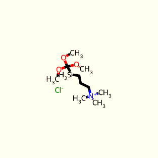 COC(OC)(OC)[SiH2]CCC[N+](C)(C)C.[Cl-]